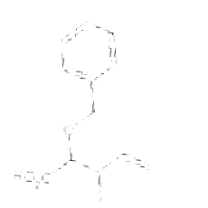 C=CC(C)C(OCc1ccccc1)C(=O)O